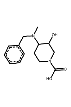 CN(Cc1ccccc1)C1CCN(C(=O)O)CC1O